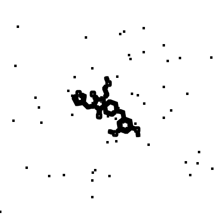 COCCN1C(=O)N(Cc2ccoc2)C(=O)C12CCN(Cc1cc(OC)cc(OC)c1)CC2